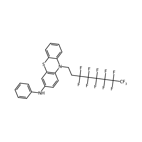 FC(F)(F)C(F)(F)C(F)(F)C(F)(F)C(F)(F)C(F)(F)CCN1c2ccccc2Sc2cc(Nc3ccccc3)ccc21